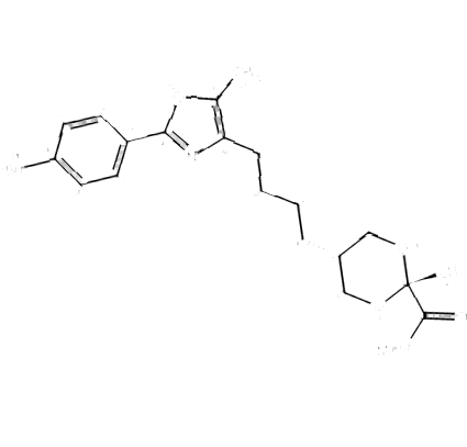 COC(=O)[C@]1(C)OC[C@H](CCCCc2nc(-c3ccc(C(C)(C)C)cc3)oc2C)CO1